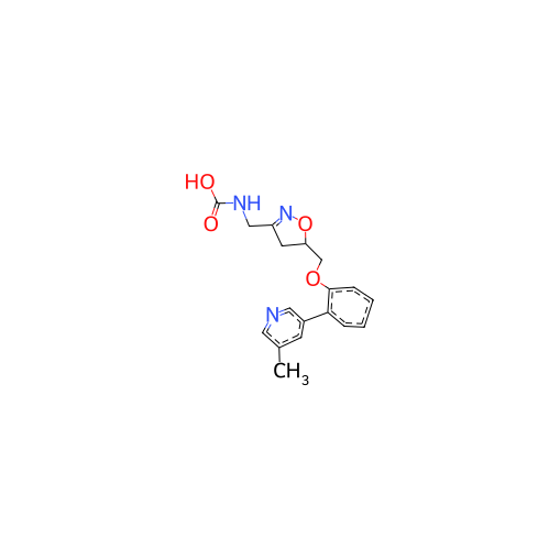 Cc1cncc(-c2ccccc2OCC2CC(CNC(=O)O)=NO2)c1